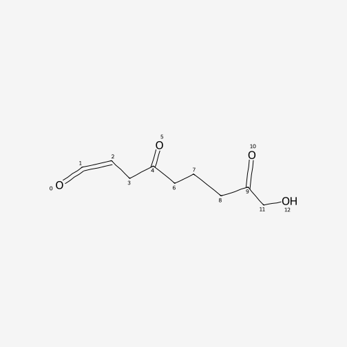 O=C=CCC(=O)CCCC(=O)CO